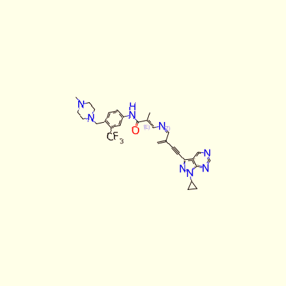 C=C(C#Cc1nn(C2CC2)c2ncncc12)/C=N\C=C(/C)C(=O)Nc1ccc(CN2CCN(C)CC2)c(C(F)(F)F)c1